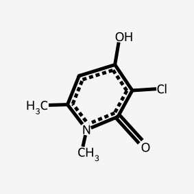 Cc1cc(O)c(Cl)c(=O)n1C